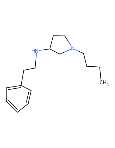 CCCCN1CCC(NCCc2ccccc2)C1